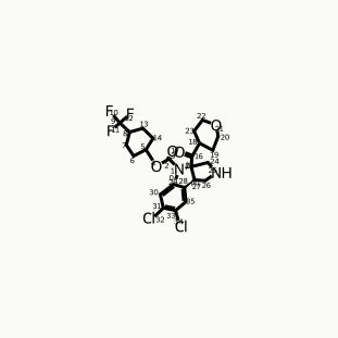 CN(C(=O)OC1CCC(C(F)(F)F)CC1)[C@]1(C(=O)C2CCOCC2)CNC[C@H]1c1ccc(Cl)c(Cl)c1